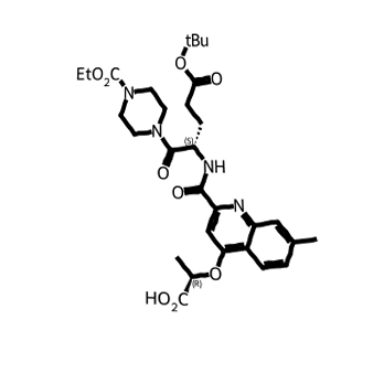 CCOC(=O)N1CCN(C(=O)[C@H](CCC(=O)OC(C)(C)C)NC(=O)c2cc(O[C@H](C)C(=O)O)c3ccc(C)cc3n2)CC1